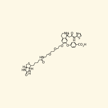 C[C@]1(CC(=O)Nc2nccs2)NCCc2cc(OCCOCCOCCNC(=O)CCCCC3SC[C@@H]4NC(=O)N[C@H]34)c(Oc3ccc(C(=O)O)cc3)cc21